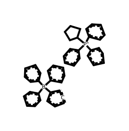 c1ccc([B-](c2ccccc2)(c2ccccc2)c2ccccc2)cc1.c1ccc([P+](c2ccccc2)(c2ccccc2)C2CCCC2)cc1